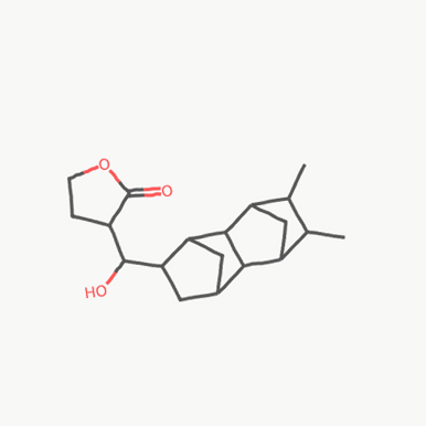 CC1C(C)C2CC1C1C3CC(C(O)C4CCOC4=O)C(C3)C21